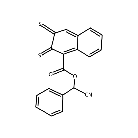 N#CC(OC(=O)C1=c2ccccc2=CC(=S)C1=S)c1ccccc1